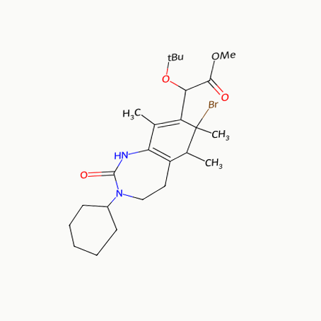 COC(=O)C(OC(C)(C)C)C1=C(C)C2=C(CCN(C3CCCCC3)C(=O)N2)C(C)C1(C)Br